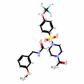 COc1cccc(CNC(=O)[C@H]2CN(C(C)=O)CCN2S(=O)(=O)c2ccc(OC(F)(F)F)cc2)c1